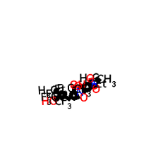 CCC(C)(CC)c1ccc(Cc2ccc(-n3c(=O)c4cc5c(=O)n(C(C)(C)CC)c(=O)c5cc4c3=O)c(C(O)(C(F)(F)F)C(F)(F)F)c2)cc1C(O)(C(F)(F)F)C(F)(F)F